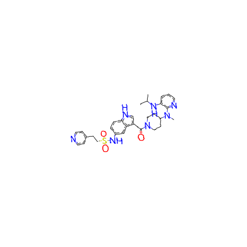 CC(C)Nc1cccnc1N(C)C1CCN(C(=O)c2c[nH]c3ccc(NS(=O)(=O)CCc4ccncc4)cc23)CC1